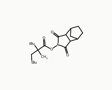 CC(C)(C)CC(C)(C(=O)ON1C(=O)C2C3CCC(C3)C2C1=O)C(C)(C)C